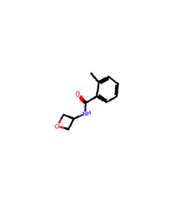 Cc1ccccc1C(=O)NC1COC1